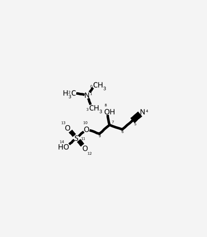 CN(C)C.N#CCC(O)COS(=O)(=O)O